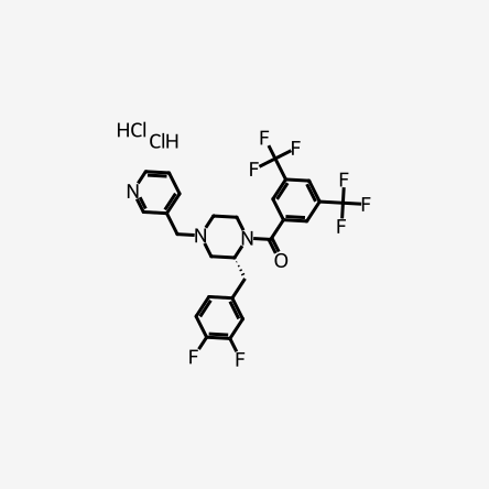 Cl.Cl.O=C(c1cc(C(F)(F)F)cc(C(F)(F)F)c1)N1CCN(Cc2cccnc2)C[C@H]1Cc1ccc(F)c(F)c1